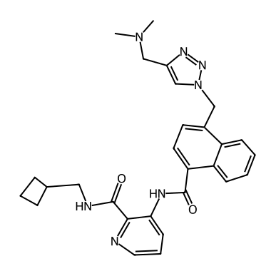 CN(C)Cc1cn(Cc2ccc(C(=O)Nc3cccnc3C(=O)NCC3CCC3)c3ccccc23)nn1